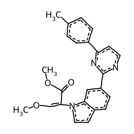 COC=C(C(=O)OC)n1ccc2ccc(-c3nccc(-c4ccc(C)cc4)n3)cc21